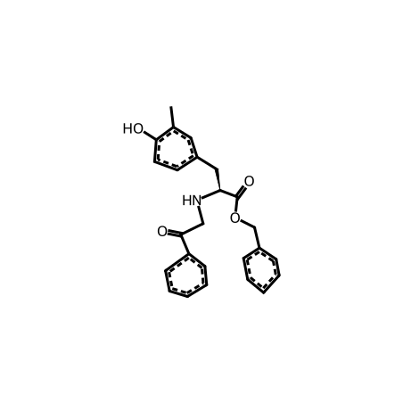 Cc1cc(C[C@H](NCC(=O)c2ccccc2)C(=O)OCc2ccccc2)ccc1O